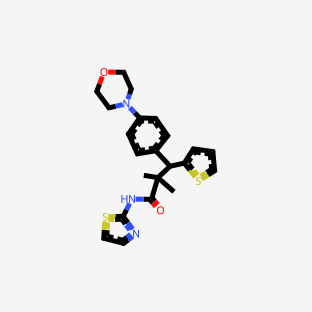 CC(C)(C(=O)Nc1nccs1)C(c1ccc(N2CCOCC2)cc1)c1cccs1